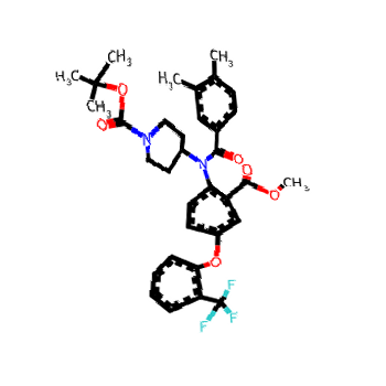 COC(=O)c1cc(Oc2ccccc2C(F)(F)F)ccc1N(C(=O)c1ccc(C)c(C)c1)C1CCN(C(=O)OC(C)(C)C)CC1